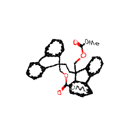 COC(=O)OCC1(CCC2(COC(=O)OC)c3ccccc3-c3ccccc32)c2ccccc2-c2ccccc21